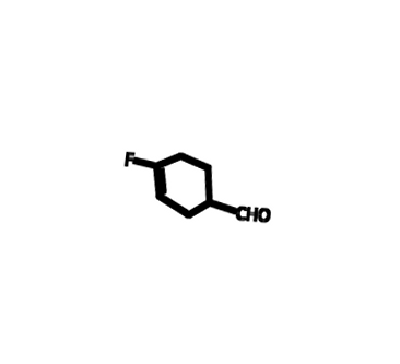 O=CC1CC=C(F)CC1